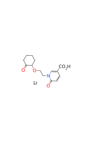 O=C(O)c1ccc(=O)n(CCOC2CCCCC2=O)c1.[Li]